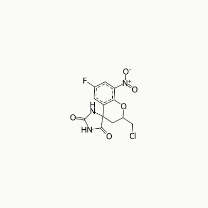 O=C1NC(=O)C2(CC(CCl)Oc3c([N+](=O)[O-])cc(F)cc32)N1